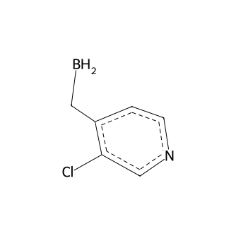 BCc1ccncc1Cl